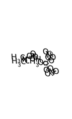 C[N+](C)(C)CCOP(=O)(O)OCCOc1cc(C(=O)ON2C(=O)CCC2=O)cc(C(=O)ON2C(=O)CCC2=O)c1